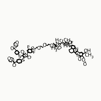 CSC(NC(=O)COCCOCCOCCOc1c(F)cc(N2C(=O)C(Sc3ccc(C(=O)N4CCOCC4)cc3)=C(Sc3ccc(C(=O)N4CCOCC4)cc3)C2=O)cc1F)C(=O)NC(C)C(=O)Nc1c(F)cc2nc3c(c4c2c1CCC4)Cn1c-3cc(C(C)O)c(COC=O)c1=O